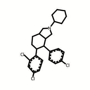 Clc1ccc(C2C(c3ccc(Cl)cc3Cl)CCC3CN(C4CCCCC4)CC32)cc1